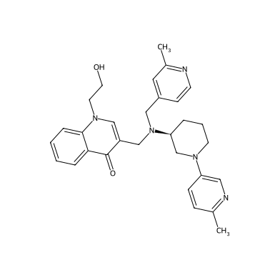 Cc1ccc(N2CCC[C@H](N(Cc3ccnc(C)c3)Cc3cn(CCO)c4ccccc4c3=O)C2)cn1